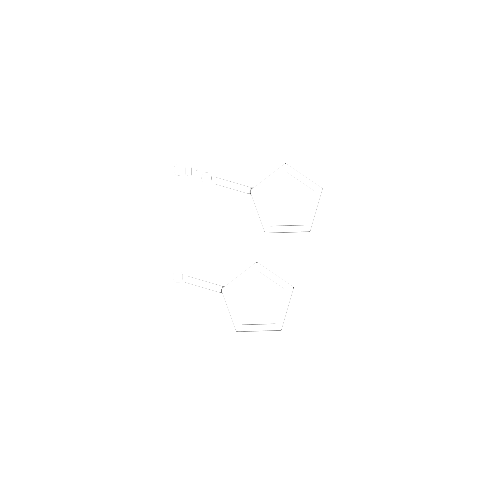 O=C1C=CC=C1.O=C1C=CC=C1.[Cu+2]